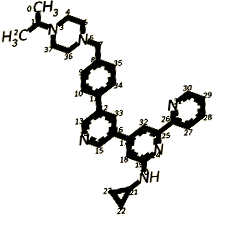 CC(C)N1CCN(Cc2ccc(-c3cncc(-c4cc(NC5CC5)nc(-c5ccccn5)c4)c3)cc2)CC1